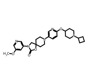 COc1cncc(N2CC3(CCN(c4ccc(OC5CCN(C6CCC6)CC5)nc4)CC3)OC2=O)c1